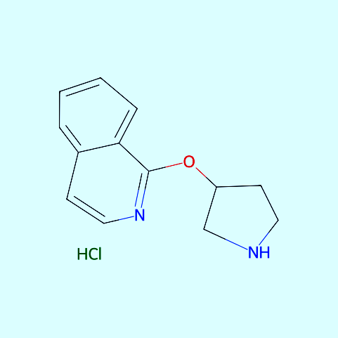 Cl.c1ccc2c(OC3CCNC3)nccc2c1